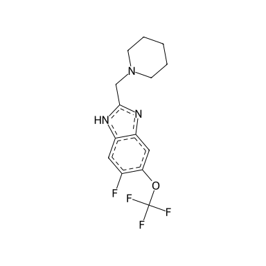 Fc1cc2[nH]c(CN3CCCCC3)nc2cc1OC(F)(F)F